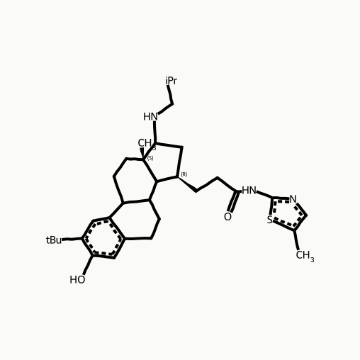 Cc1cnc(NC(=O)CC[C@@H]2CC(NCC(C)C)[C@@]3(C)CCC4c5cc(C(C)(C)C)c(O)cc5CCC4C23)s1